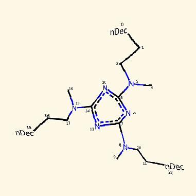 CCCCCCCCCCCCN(C)c1nc(N(C)CCCCCCCCCCCC)nc(N(C)CCCCCCCCCCCC)n1